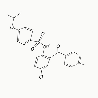 C=C(C)/C=C\C(=C/C)C(=O)c1cc(Cl)ccc1NS(=O)(=O)c1ccc(OC(C)C)cc1